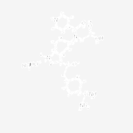 Cl.Cl.Cn1cc(C(=O)Cc2ccc(C(=N)N)cc2)c2cc(N(CC(=O)O)C(=O)c3ccncc3)ccc21